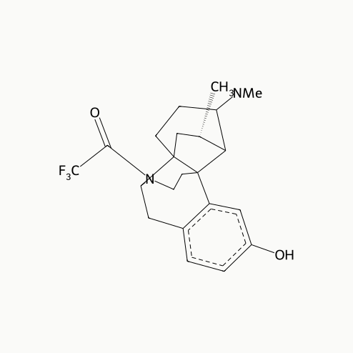 CNC1CCC23C[C@H](C)C1C21CCN(C(=O)C(F)(F)F)C3Cc2ccc(O)cc21